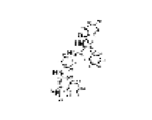 Cc1ccc(S(=O)(=O)N[C@H](CN[C@H]2CC[C@@H](Nc3nc(N(C)C)c4ccccc4n3)CC2)Cc2ccccc2)cc1